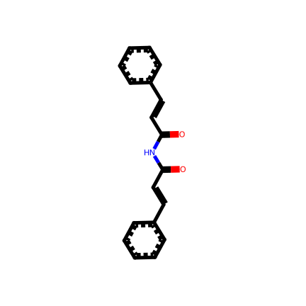 O=C(C=Cc1ccccc1)NC(=O)C=Cc1ccccc1